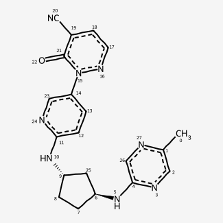 Cc1cnc(N[C@H]2CC[C@H](Nc3ccc(-n4nccc(C#N)c4=O)cn3)C2)cn1